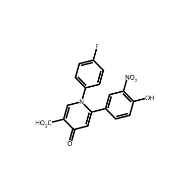 O=C(O)c1cn(-c2ccc(F)cc2)c(-c2ccc(O)c([N+](=O)[O-])c2)cc1=O